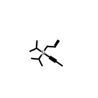 C=CC[Si](C#CC)(C(C)C)C(C)C